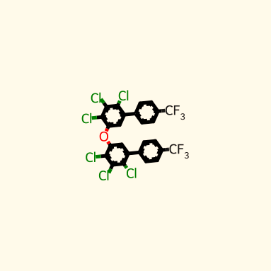 FC(F)(F)c1ccc(-c2cc(Oc3cc(-c4ccc(C(F)(F)F)cc4)c(Cl)c(Cl)c3Cl)c(Cl)c(Cl)c2Cl)cc1